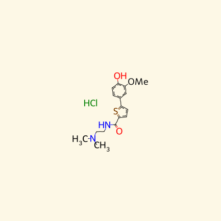 COc1cc(-c2ccc(C(=O)NCCN(C)C)s2)ccc1O.Cl